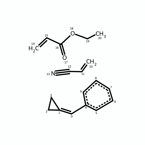 C(=C1CC1)c1ccccc1.C=CC#N.C=CC(=O)OCC